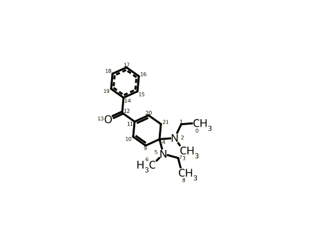 CCN(C)C1(N(C)CC)C=CC(C(=O)c2ccccc2)=CC1